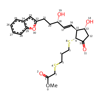 COC(=O)CSCCCS[C@H]1C(=O)C[C@@H](O)[C@@H]1/C=C/[C@@H](O)CCc1cc2ccccc2o1